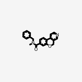 CN(Cc1ccccc1)C(=O)c1ccc2c(c1)OCc1cnccc1-2